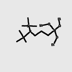 CCO[Si](CCCN([Si](C)(C)C)[Si](C)(C)C)(OCC)OCC